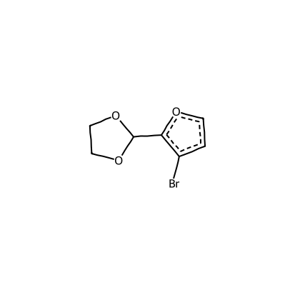 Brc1ccoc1C1OCCO1